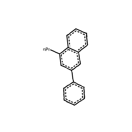 [CH2]CCc1cc(-c2ccccc2)cc2ccccc12